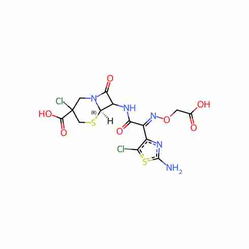 Nc1nc(C(=NOCC(=O)O)C(=O)NC2C(=O)N3CC(Cl)(C(=O)O)CS[C@H]23)c(Cl)s1